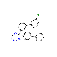 Clc1cccc(-c2cccc(C3(c4ccc(-c5ccccc5)cc4)N=CN=CN3)c2)c1